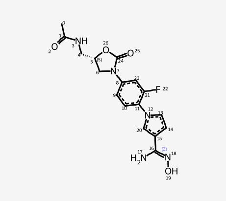 CC(=O)NC[C@H]1CN(c2ccc(-n3ccc(/C(N)=N/O)c3)c(F)c2)C(=O)O1